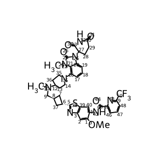 COc1cc2nc([C@H]3C[C@H](CN(C)C4CCN(c5cccc6c5n(C)c(=O)n6C5CCC(=O)NC5=O)CC4)C3)sc2cc1NC(=O)c1cccc(C(F)(F)F)n1